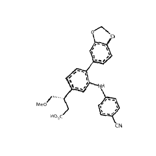 COC[C@@H](CC(=O)O)c1ccc(-c2ccc3c(c2)OCO3)c(Nc2ccc(C#N)cc2)c1